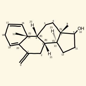 C=C1C[C@@H]2[C@@H](CC[C@]3(C)C(O)CC[C@@H]23)[C@@]2(C)C=CCC=C12